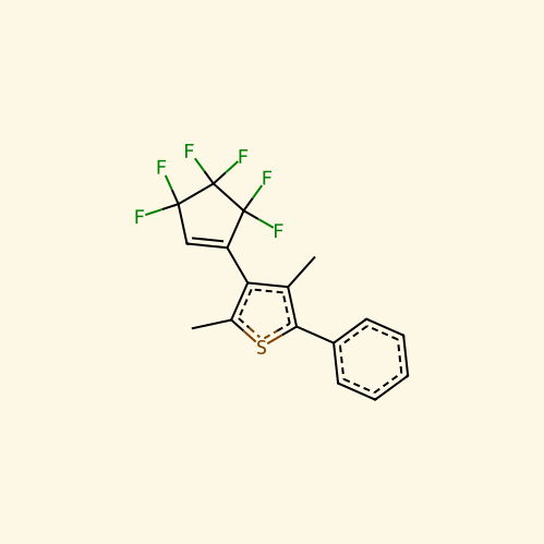 Cc1sc(-c2ccccc2)c(C)c1C1=CC(F)(F)C(F)(F)C1(F)F